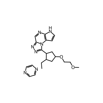 CCC1CC(OCCOC)CC1c1nnc2cnc3[nH]ccc3n12.c1cnccn1